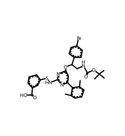 Cc1cccc(C)c1-c1cc(OC(CNC(=O)OC(C)(C)C)c2ccc(Br)cc2)nc(NSc2cccc(C(=O)O)c2)n1